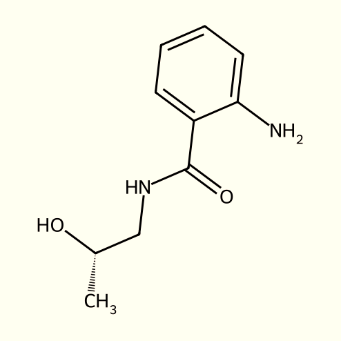 C[C@H](O)CNC(=O)c1ccccc1N